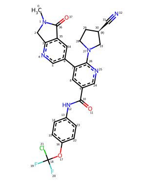 CN1Cc2ncc(-c3cc(C(=O)Nc4ccc(OC(F)(F)Cl)cc4)cnc3N3CC[C@@H](C#N)C3)cc2C1=O